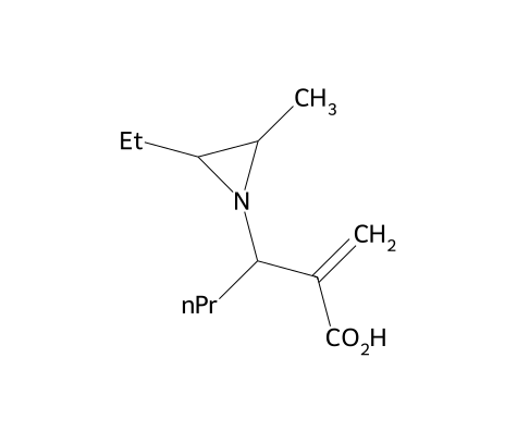 C=C(C(=O)O)C(CCC)N1C(C)C1CC